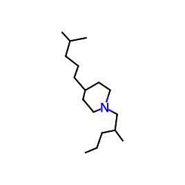 CCCC(C)CN1CCC(CCCC(C)C)CC1